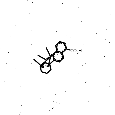 CC1=C(C)c2c(ccc3c(C(=O)O)cccc23)C23CCCC(=C12)C(C)OC3C